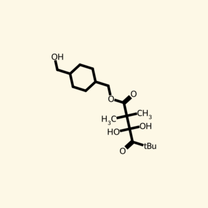 CC(C)(C)C(=O)C(O)(O)C(C)(C)C(=O)OCC1CCC(CO)CC1